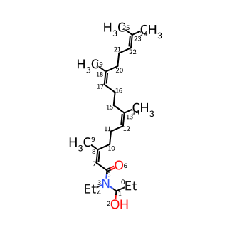 CCC(O)N(CC)C(=O)C=C(C)CCC=C(C)CCC=C(C)CCC=C(C)C